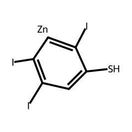 Sc1cc(I)c(I)cc1I.[Zn]